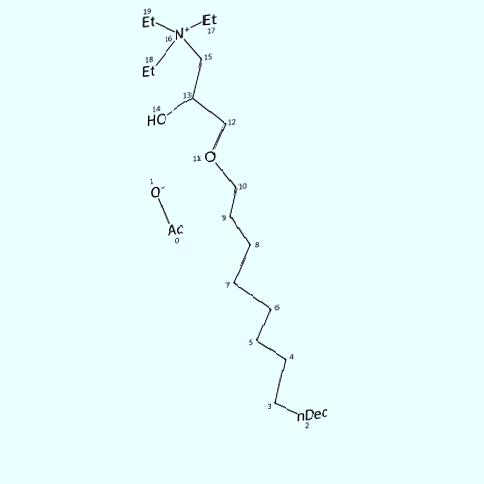 CC(=O)[O-].CCCCCCCCCCCCCCCCCCOCC(O)C[N+](CC)(CC)CC